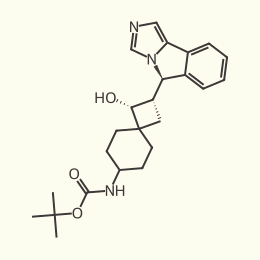 CC(C)(C)OC(=O)NC1CCC2(CC1)C[C@@H]([C@@H]1c3ccccc3-c3cncn31)[C@H]2O